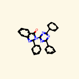 O=c1c2ccccc2nc(-c2ccccc2)n1-c1nc(-c2ccccc2)nc(-c2ccccc2)n1